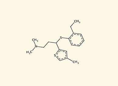 CCc1ccccc1SC(CCN(C)C)c1cc(C)cs1